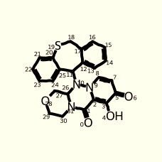 O=C1c2c(O)c(=O)ccn2N(C2c3ccccc3CSc3ccccc32)C2COCCN12